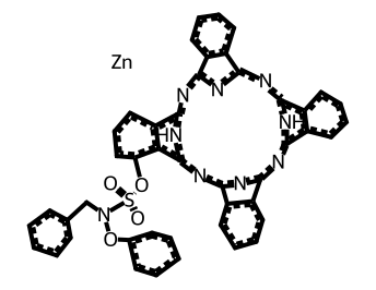 O=S(=O)(Oc1cccc2c3nc4nc(nc5[nH]c(nc6nc(nc([nH]3)c12)-c1ccccc1-6)c1ccccc51)-c1ccccc1-4)N(Cc1ccccc1)Oc1ccccc1.[Zn]